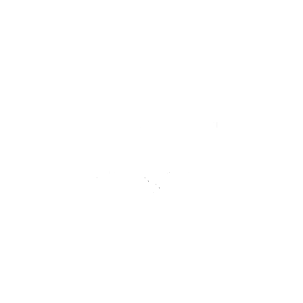 NC[C@@]1(c2cccc3c2OC(F)(F)O3)Cc2c(ccc(Cl)c2-c2c(F)cccc2C(N)=O)O1